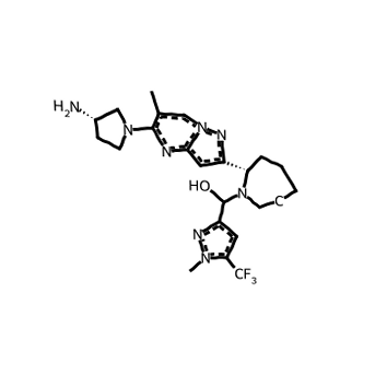 Cc1cn2nc([C@@H]3CCCCCN3C(O)c3cc(C(F)(F)F)n(C)n3)cc2nc1N1CC[C@H](N)C1